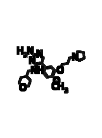 COc1ccc(-c2cnc(N)nc2NCC2CCOCC2)cc1OCCCN1CCCC1